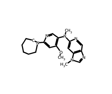 COc1cc(N2CCCCCC2)ncc1N(C)c1cc2c(cn1)ncn2C